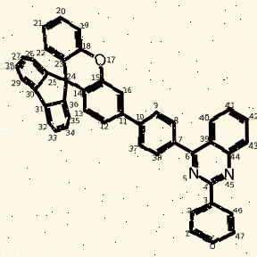 c1ccc(-c2nc(-c3ccc(-c4ccc5c(c4)Oc4ccccc4C54c5ccccc5-c5ccccc54)cc3)c3ccccc3n2)cc1